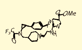 COC(=O)c1cnc(NCCN2CCC(CN(C(=O)C(F)(F)F)C3CC3c3ccc(F)cc3)CC2)nc1